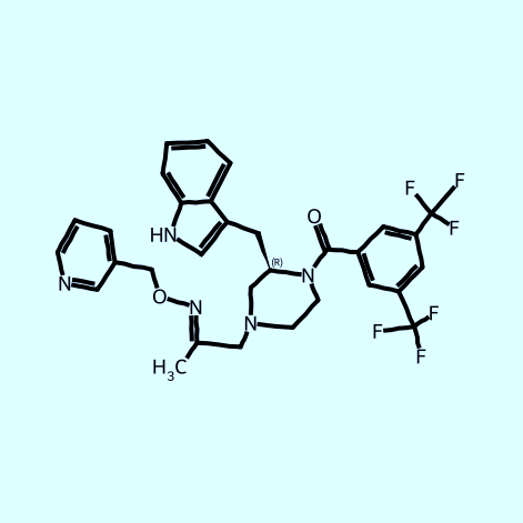 CC(CN1CCN(C(=O)c2cc(C(F)(F)F)cc(C(F)(F)F)c2)[C@H](Cc2c[nH]c3ccccc23)C1)=NOCc1cccnc1